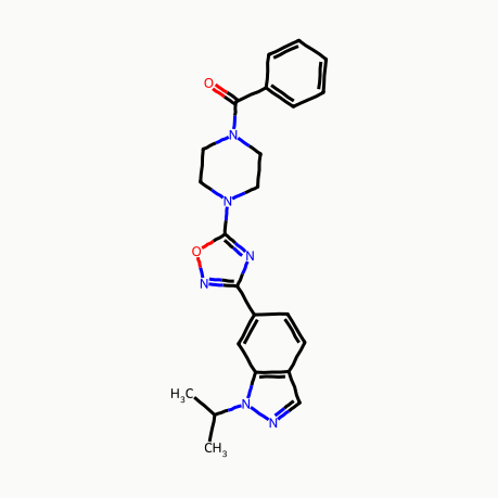 CC(C)n1ncc2ccc(-c3noc(N4CCN(C(=O)c5ccccc5)CC4)n3)cc21